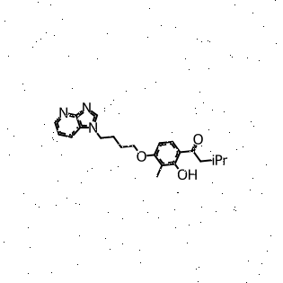 Cc1c(OCCCCn2cnc3ncccc32)ccc(C(=O)CC(C)C)c1O